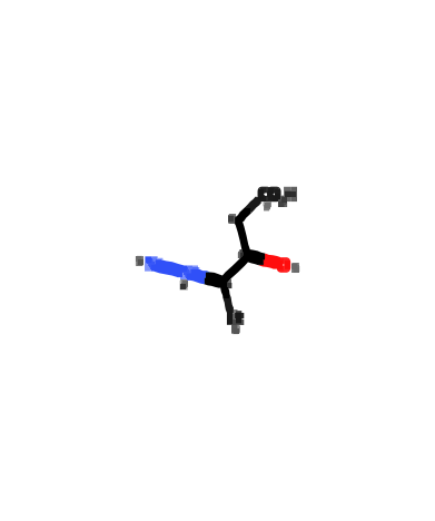 CCC(=[N+]=[N-])C(=O)CC(=O)O